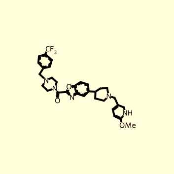 COC1=CC=C(CN2CCC(c3ccc4oc(C(=O)N5CCN(Cc6ccc(C(F)(F)F)cc6)CC5)nc4c3)CC2)CN1